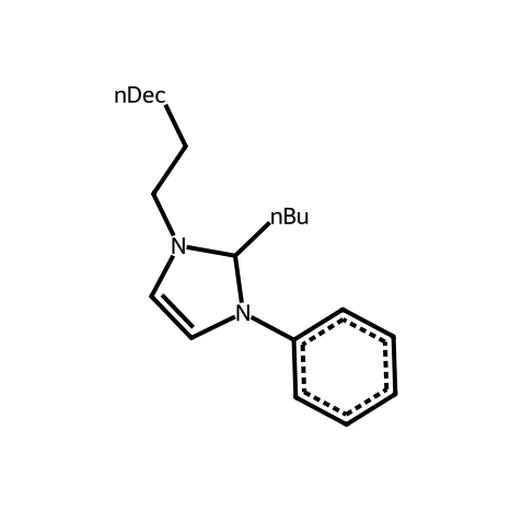 CCCCCCCCCCCCN1C=CN(c2ccccc2)C1CCCC